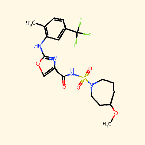 COC1CCCN(S(=O)(=O)NC(=O)c2coc(Nc3cc(C(F)(F)F)ccc3C)n2)CC1